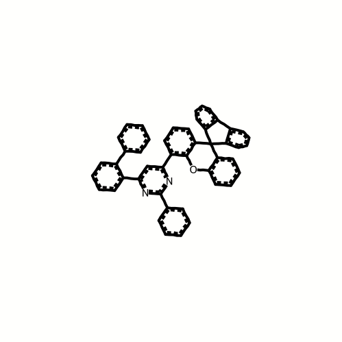 c1ccc(-c2nc(-c3ccccc3-c3ccccc3)cc(-c3cccc4c3Oc3ccccc3C43c4ccccc4-c4ccccc43)n2)cc1